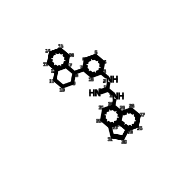 N=C(Nc1cccc(C2CCCc3ccccc32)c1)Nc1ccc2c3c(cccc13)C=C2